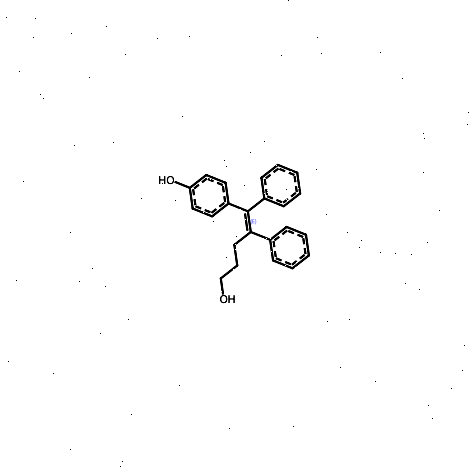 OCCC/C(=C(/c1ccccc1)c1ccc(O)cc1)c1ccccc1